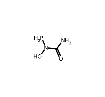 NC(=O)N(O)P